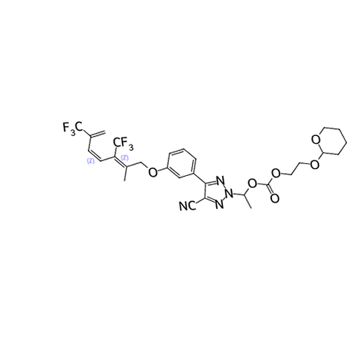 C=C(/C=C\C(=C(/C)COc1cccc(-c2nn(C(C)OC(=O)OCCOC3CCCCO3)nc2C#N)c1)C(F)(F)F)C(F)(F)F